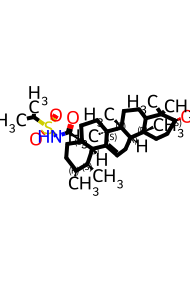 CC(C)S(=O)(=O)NC(=O)[C@]12CC[C@@H](C)[C@H](C)[C@H]1C1=CC[C@@H]3[C@@]4(C)CC[C@H](O)C(C)(C)C4CC[C@@]3(C)[C@]1(C)CC2